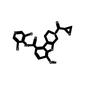 COc1ccc(C(=O)Nc2c(Cl)cncc2Cl)c2c3c(oc12)CN(C(=O)C1CO1)CC3